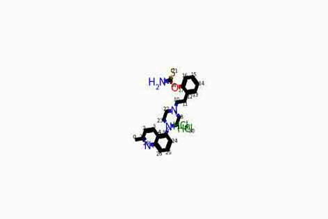 Cc1ccc2c(N3CCN(CCc4ccccc4OC(N)=S)CC3)cccc2n1.Cl.Cl